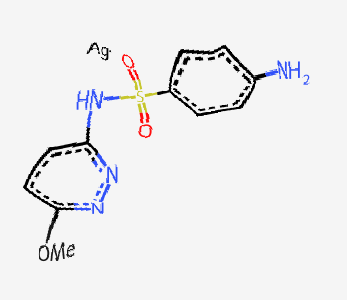 COc1ccc(NS(=O)(=O)c2ccc(N)cc2)nn1.[Ag]